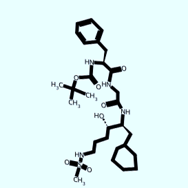 CC(C)(C)OC(=O)N[C@@H](Cc1ccccc1)C(=O)NCC(=O)N[C@@H](CC1CCCCC1)[C@@H](O)CCCNS(C)(=O)=O